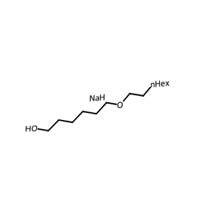 CCCCCCCCOCCCCCCO.[NaH]